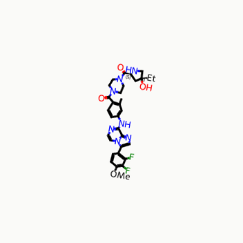 CC[C@]1(O)CN[C@H](C(=O)N2CCN(C(=O)c3ccc(Nc4nccn5c(-c6ccc(OC)c(F)c6F)cnc45)cc3C)CC2)C1